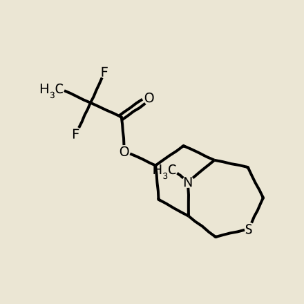 CN1C2CCSCC1CC(OC(=O)C(C)(F)F)C2